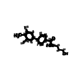 Cc1c(F)cc(-c2cnc(C(=O)NCCCO)nc2)cc1F